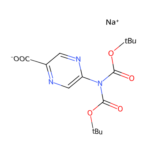 CC(C)(C)OC(=O)N(C(=O)OC(C)(C)C)c1cnc(C(=O)[O-])cn1.[Na+]